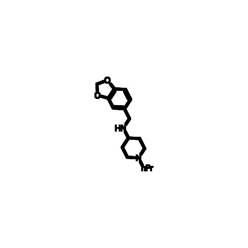 CCCN1CCC(NCc2ccc3c(c2)OCO3)CC1